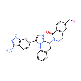 Nc1n[nH]c2cc(-c3cnc([C@H](Cc4ccccc4)N4CCc5cc(CI)ccc5C4=O)[nH]3)ccc12